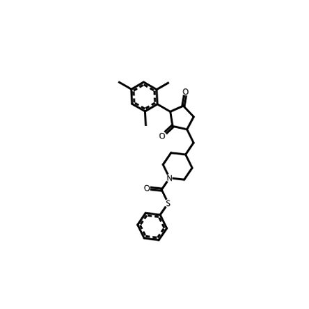 Cc1cc(C)c(C2C(=O)CC(CC3CCN(C(=O)Sc4ccccc4)CC3)C2=O)c(C)c1